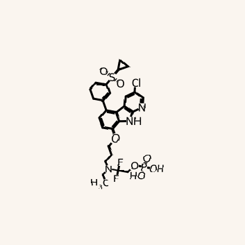 CCN(CCCOc1ccc(C2=CC(S(=O)(=O)C3CC3)=CCC2)c2c1[nH]c1ncc(Cl)cc12)C(F)(F)COP(=O)(O)O